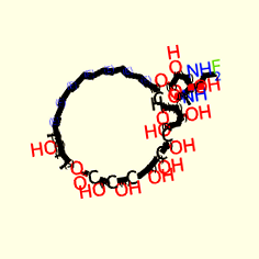 C[C@@H]1[C@H](O)[C@@H](C)/C=C/C=C/C=C/C=C/C=C/C=C/C=C/[C@H](O[C@@H]2O[C@H](C)[C@@H](O)[C@H](N)[C@@H]2O)C[C@@H]2O[C@](O)(C[C@@H](O)C[C@@H](O)[C@H](O)CC[C@@H](O)C[C@@H](O)CC(=O)O[C@H]1C)C[C@H](O)[C@H]2C(=O)NCCCCF